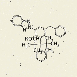 CC(C)(C)C(c1ccccc1)(c1cc(Cc2ccccc2)cc(-n2nc3ccccc3n2)c1O)C(C)(C)C